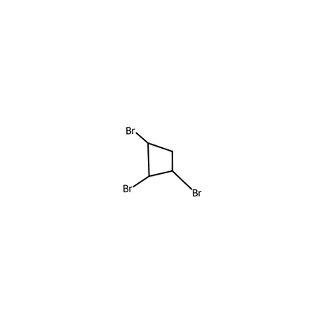 BrC1CC(Br)C1Br